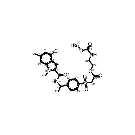 Cc1cc(Cl)c2cc(C(=O)NC(C)c3ccc(S(=O)(=O)CC(=O)OCCNC(=O)OC(C)(C)C)cc3)n(C)c2c1